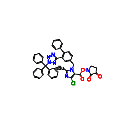 CCCCc1nc(Cl)c(C(=O)ON2CCC(=O)C2=O)n1Cc1ccc(-c2ccccc2)c(-c2nnn(C(c3ccccc3)(c3ccccc3)c3ccccc3)n2)c1